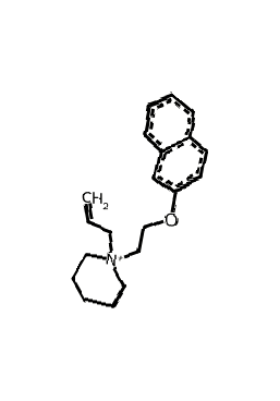 C=CC[N+]1(CCOc2ccc3ccccc3c2)CCCCC1